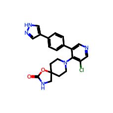 O=C1NCC2(CCN(c3c(Cl)cncc3-c3ccc(-c4cn[nH]c4)cc3)CC2)O1